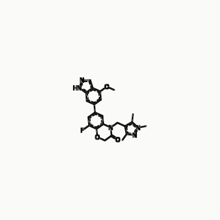 COc1cc(-c2cc(F)c3c(c2)N(Cc2c(C)nn(C)c2C)C(=O)CO3)cc2[nH]ncc12